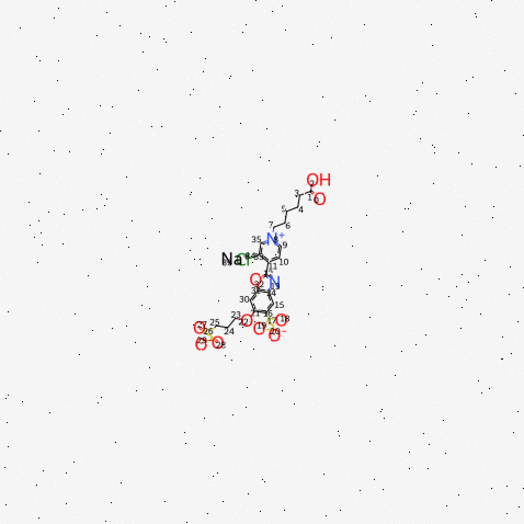 O=C(O)CCCCC[n+]1ccc(-c2nc3cc(S(=O)(=O)[O-])c(OCCCS(=O)(=O)[O-])cc3o2)c(Cl)c1.[Na+]